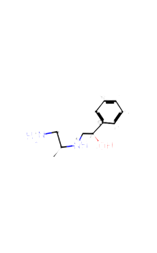 C[C@@H](CN)NC[C@H](O)c1ccccc1